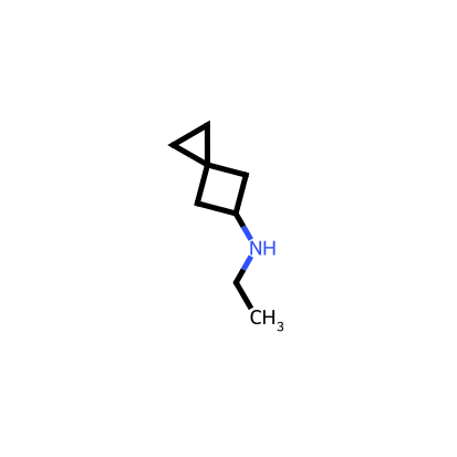 CCNC1CC2(CC2)C1